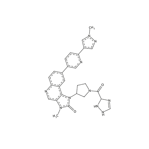 Cn1cc(-c2ccc(-c3ccc4ncc5c(c4c3)n(C3CCN(C(=O)C4N=CNN4)C3)c(=O)n5C)cn2)cn1